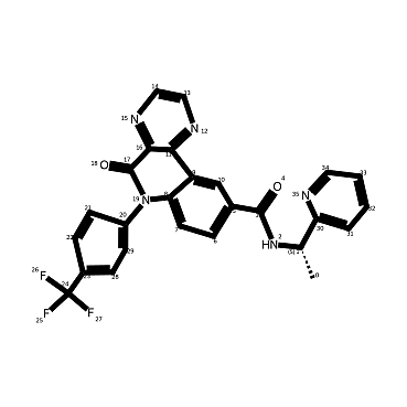 C[C@H](NC(=O)c1ccc2c(c1)c1nccnc1c(=O)n2-c1ccc(C(F)(F)F)cc1)c1ccccn1